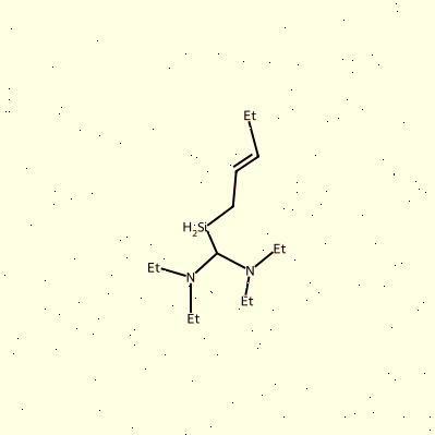 CCC=CC[SiH2]C(N(CC)CC)N(CC)CC